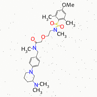 COc1cc(C)c(S(=O)(=O)N(C)CCOCC(=O)N(C)Cc2ccc(N3CCCC(N(C)C)C3)cc2)c(C)c1